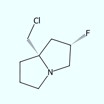 F[C@@H]1CN2CCC[C@@]2(CCl)C1